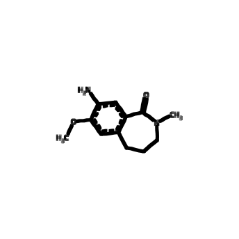 COc1cc2c(cc1N)C(=O)N(C)CCC2